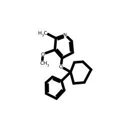 COc1c(OC2(c3ccccc3)CCCCC2)ccnc1C